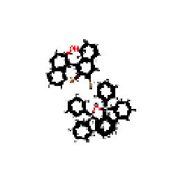 Oc1ccc2ccccc2c1-c1c(Br)c(Br)cc2ccccc12.c1ccc([Si](O[Si](c2ccccc2)(c2ccccc2)c2ccccc2)(c2ccccc2)c2ccccc2)cc1